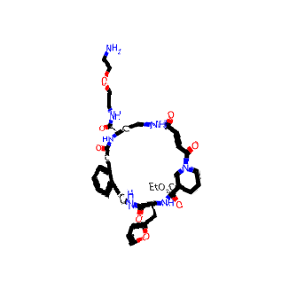 CCOC(=O)[C@]12CCCN(C1)C(=O)/C=C/C(=O)NCC[C@@H](C(=O)NCCOCCN)NC(=O)Cc1ccccc1CNC(=O)[C@H](Cc1ccco1)NC2=O